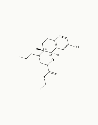 CCCN1CC(C(=O)OCC)O[C@@H]2c3cc(O)ccc3CC[C@H]21